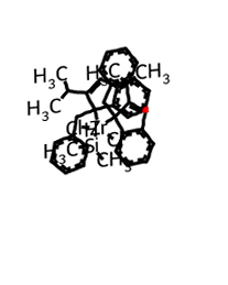 CC(C)C1=Cc2ccccc2[C]1(Cc1ccccc1)[Zr]([Cl])([Cl])([SiH](C)C)[C]1(Cc2ccccc2)C(C(C)C)=Cc2ccccc21